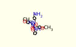 CCOc1ccc(C[C@@H](NC(=O)c2ccccc2)C(=O)N(CCc2ccc(OC)cc2)C(=O)NCc2ccc(CN)cc2)cc1